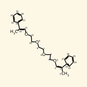 CC(=COCCOCCOCCOC=C(C)c1ccccc1)c1ccccc1